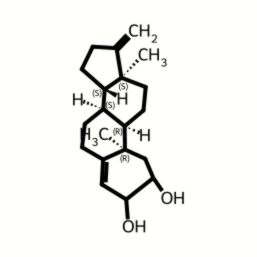 C=C1CC[C@H]2[C@@H]3CCC4=CC(O)C(O)C[C@]4(C)[C@@H]3CC[C@]12C